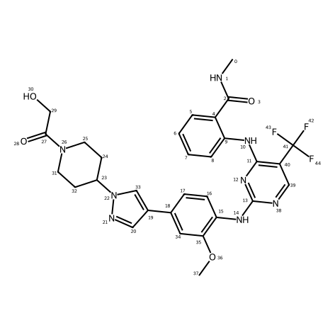 CNC(=O)c1ccccc1Nc1nc(Nc2ccc(-c3cnn(C4CCN(C(=O)CO)CC4)c3)cc2OC)ncc1C(F)(F)F